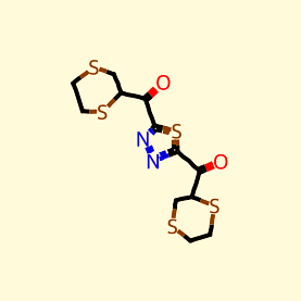 O=C(c1nnc(C(=O)C2CSCCS2)s1)C1CSCCS1